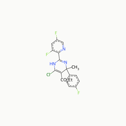 CCOC(=O)C1=C(Cl)NC(c2ncc(F)cc2F)=NC1(C)c1ccc(F)cc1